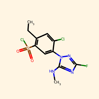 CCc1cc(Cl)c(-n2nc(F)nc2NC)cc1S(=O)(=O)Cl